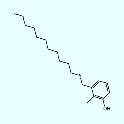 CCCCCCCCCCCSCc1cccc(O)c1C